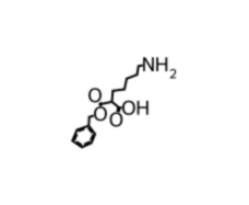 NCCCCCC(C(=O)O)C(=O)OCc1ccccc1